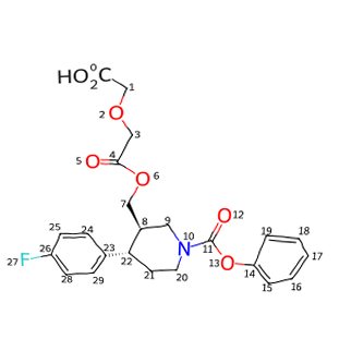 O=C(O)COCC(=O)OC[C@H]1CN(C(=O)Oc2ccccc2)CC[C@@H]1c1ccc(F)cc1